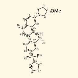 CO[C@H]1CCN(c2cnc3c(C)nnc(N[C@H](C)c4cccc(C(F)(F)C5CCCO5)c4)c3c2)C1